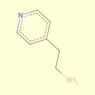 BCCc1ccncc1